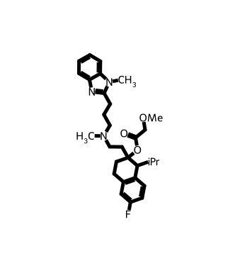 COCC(=O)OC1(CCN(C)CCCc2nc3ccccc3n2C)CCc2cc(F)ccc2C1C(C)C